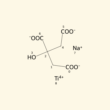 O=C([O-])CC(O)(CC(=O)[O-])C(=O)[O-].[Na+].[Ti+4]